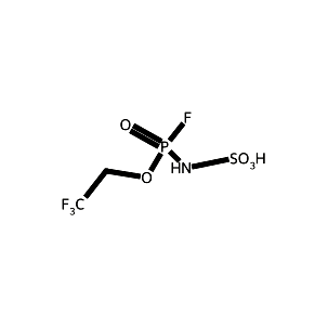 O=P(F)(NS(=O)(=O)O)OCC(F)(F)F